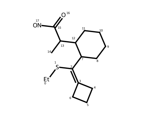 CCSC(=C1CCC1)C1CCCCC1C(C)C(=O)N=O